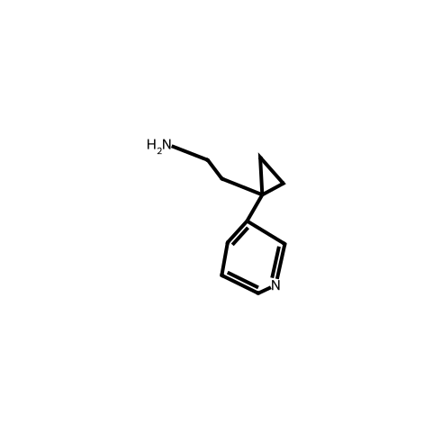 NCCC1(c2cccnc2)CC1